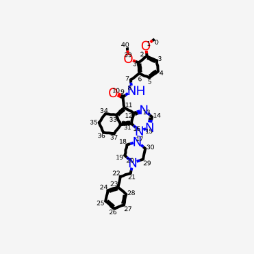 COc1cccc(CNC(=O)c2c3ncnn(N4CCN(CCc5ccccc5)CC4)c-3c3c2CCCC3)c1OC